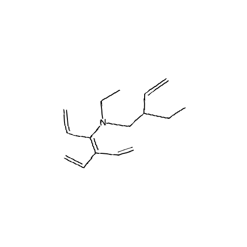 C=CC(C=C)=C(C=C)N(CC)CC(C=C)CC